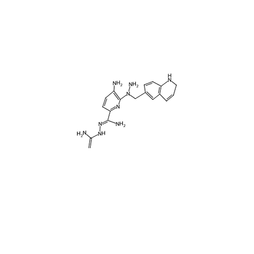 C=C(N)N/N=C(\N)c1ccc(N)c(N(N)Cc2ccc3c(c2)C=CCN3)n1